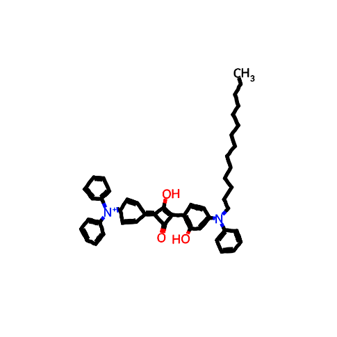 CCCCCCCCCCCCCCN(c1ccccc1)c1ccc(C2=C(O)C(=C3C=CC(=[N+](c4ccccc4)c4ccccc4)C=C3)C2=O)c(O)c1